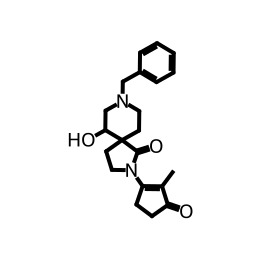 CC1=C(N2CCC3(CCN(Cc4ccccc4)CC3O)C2=O)CCC1=O